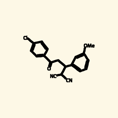 COc1cccc(C(CC(=O)c2ccc(Cl)cc2)C(C#N)C#N)c1